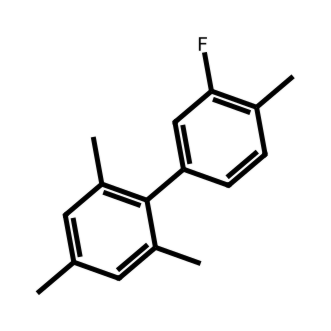 Cc1cc(C)c(-c2ccc(C)c(F)c2)c(C)c1